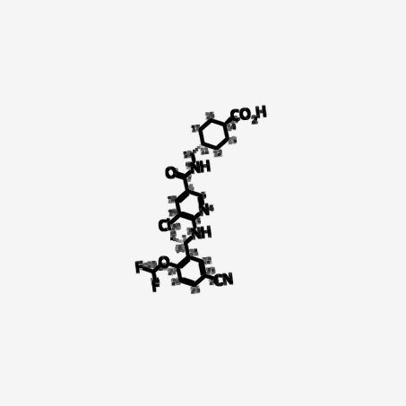 C[C@H](Nc1ncc(C(=O)NC[C@H]2CC[C@H](C(=O)O)CC2)cc1Cl)c1cc(C#N)ccc1OC(F)F